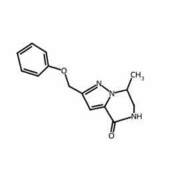 CC1CNC(=O)c2cc(COc3ccccc3)nn21